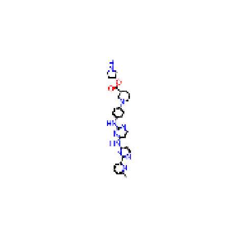 Cc1cccc(-c2nccc(Nc3ccnc(Nc4ccc(N5CCCC(C(=O)OC6CCNC6)C5)cc4)n3)n2)n1